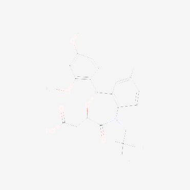 COc1ccc(C2OC(CC(=O)O)C(=O)N(CC(C)(C)C)c3ccc(Cl)cc32)c(OC)c1